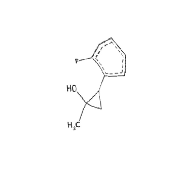 CC1(O)CC1c1ccccc1F